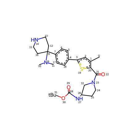 Cc1cc(-c2ccc(C3(N(C)C)CCNCC3)cc2)sc1C(=O)N1CC[C@H](NC(=O)OC(C)(C)C)C1